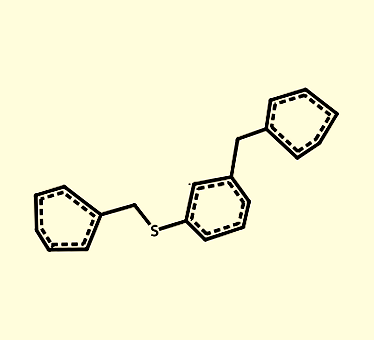 [c]1c(Cc2ccccc2)cccc1SCc1ccccc1